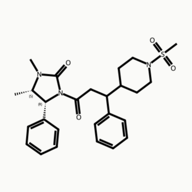 C[C@H]1[C@@H](c2ccccc2)N(C(=O)CC(c2ccccc2)C2CCN(S(C)(=O)=O)CC2)C(=O)N1C